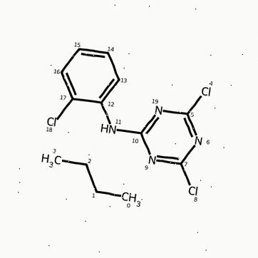 CCCC.Clc1nc(Cl)nc(Nc2ccccc2Cl)n1